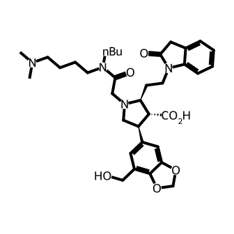 CCCCN(CCCCN(C)C)C(=O)CN1C[C@H](c2cc(CO)c3c(c2)OCO3)[C@@H](C(=O)O)[C@@H]1CCN1C(=O)Cc2ccccc21